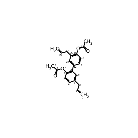 C=CCc1ccc(OC(C)=O)c(-c2ccc(OC(C)=O)c(CC=C)c2)c1